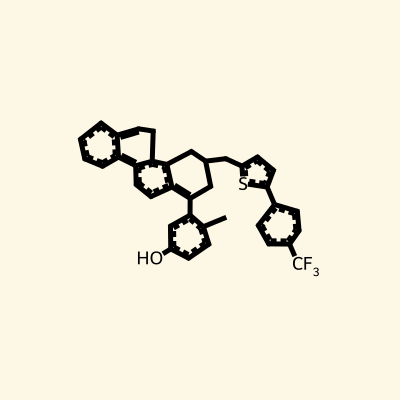 Cc1ccc(O)cc1C1=c2ccc3c(c2CC(Cc2ccc(-c4ccc(C(F)(F)F)cc4)s2)C1)CC=c1ccccc1=3